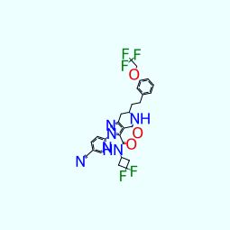 N#Cc1ccc(-n2nc3c(c2C(=O)NC2CC(F)(F)C2)C(=O)NC(CCc2cccc(OCC(F)(F)F)c2)C3)nc1